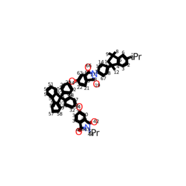 CC(C)c1ccc2c(c1)C(C)(C)CC2(C)c1ccc(N2C(=O)c3ccc(Oc4ccc(C5(c6ccc(Oc7ccc8c(c7)C(=O)N(C(C)C)C8=O)cc6)c6ccccc6-c6ccccc65)cc4)cc3C2=O)cc1